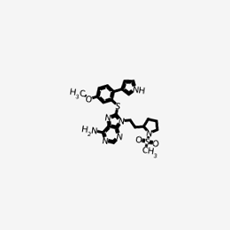 COc1ccc(-c2cc[nH]c2)c(Sc2nc3c(N)ncnc3n2CCC2CCCN2S(C)(=O)=O)c1